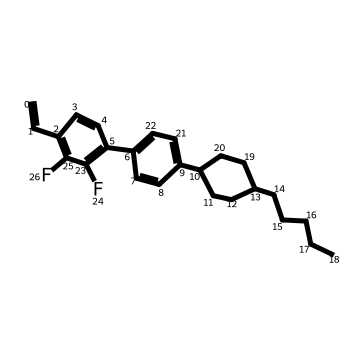 C=Cc1ccc(-c2ccc(C3CCC(CCCCC)CC3)cc2)c(F)c1F